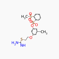 Cc1cc(OCCSC(=N)N)cc(OS(=O)(=O)c2ccccc2S(C)(=O)=O)c1